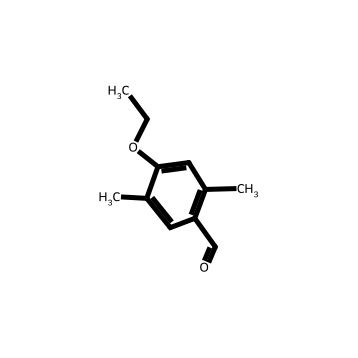 CCOc1cc(C)c(C=O)cc1C